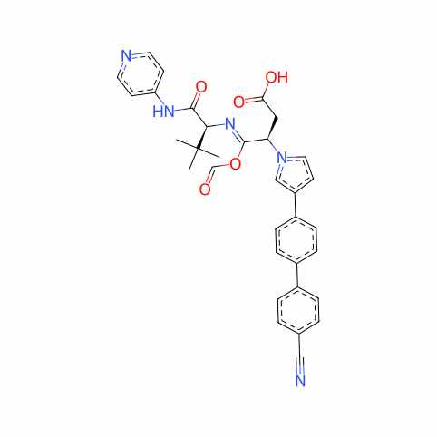 CC(C)(C)[C@H](N=C(OC=O)[C@@H](CC(=O)O)n1ccc(-c2ccc(-c3ccc(C#N)cc3)cc2)c1)C(=O)Nc1ccncc1